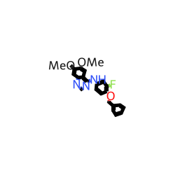 COc1cc2ncnc(Nc3ccc(OCc4ccccc4)c(F)c3)c2cc1OC